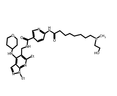 CCc1nc2c(cnn2CC)c(NC2CCOCC2)c1CNC(=O)c1ccc(NC(=O)CCCCCCCN(C)CCO)nc1